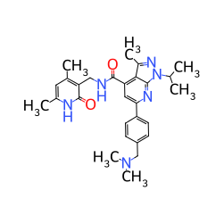 Cc1cc(C)c(CNC(=O)c2cc(-c3ccc(CN(C)C)cc3)nc3c2c(C)nn3C(C)C)c(=O)[nH]1